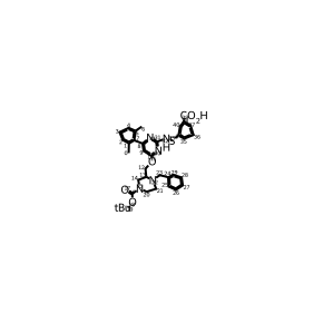 Cc1cccc(C)c1-c1cc(OCC2CN(C(=O)OC(C)(C)C)CCN2Cc2ccccc2)nc(NSc2cccc(C(=O)O)c2)n1